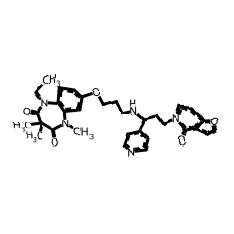 CCN1C(=O)C(C)(C)C(=O)N(C)c2cc(OCCCNC(CCn3ccc4occc4c3=O)c3ccncc3)ccc21